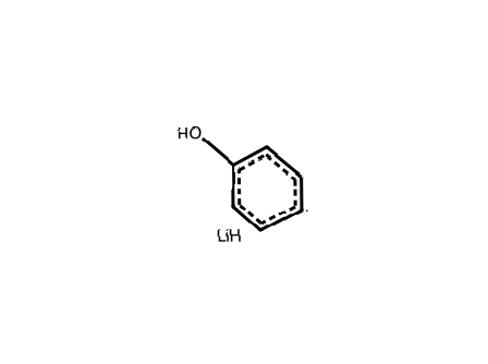 Oc1cc[c]cc1.[LiH]